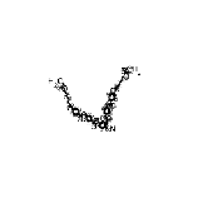 C=CC(=O)OCCCCCCOc1ccc(C(=O)Oc2ccc(C(=O)Oc3ccc(C#N)c(F)c3OC(=O)c3ccc(OC(=O)c4ccc(OCCCCCCOC(=O)C=C)cc4)cc3)cc2)cc1